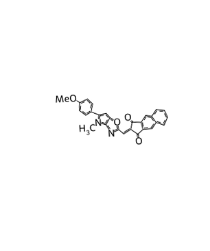 COc1ccc(-c2cc3oc(C=C4C(=O)c5cc6ccccc6cc5C4=O)nc3n2C)cc1